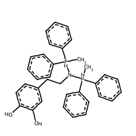 C[PH](c1ccccc1)(c1ccccc1)N(CCc1ccc(O)c(O)c1)[PH](C)(c1ccccc1)c1ccccc1